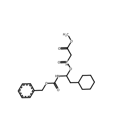 COC(=O)C[PH](=O)OC(CC1CCCCC1)NC(=O)OCc1ccccc1